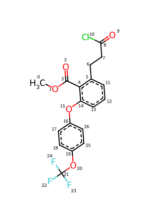 COC(=O)c1c(CCC(=O)Cl)cccc1Oc1ccc(OC(F)(F)F)cc1